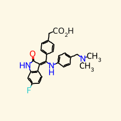 CN(C)Cc1ccc(NC(=C2C(=O)Nc3cc(F)ccc32)c2ccc(CC(=O)O)cc2)cc1